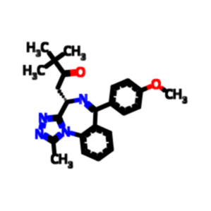 COc1ccc(C2=N[C@@H](CC(=O)C(C)(C)C)c3nnc(C)n3-c3ccccc32)cc1